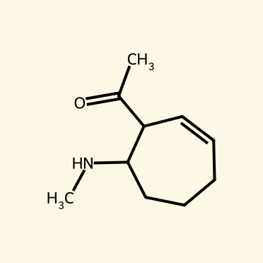 CNC1CCCC=CC1C(C)=O